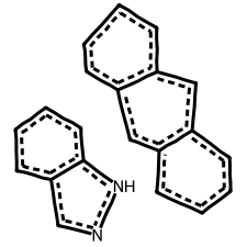 c1ccc2[nH]ncc2c1.c1ccc2cc3ccccc3cc2c1